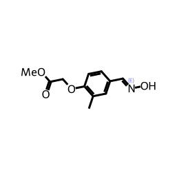 COC(=O)COc1ccc(/C=N/O)cc1C